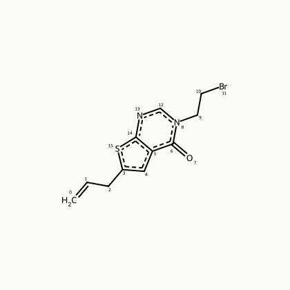 C=CCc1cc2c(=O)n(CCBr)cnc2s1